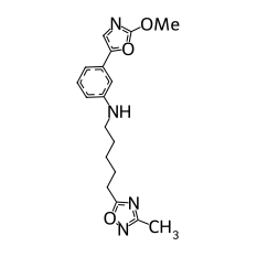 COc1ncc(-c2cccc(NCCCCCc3nc(C)no3)c2)o1